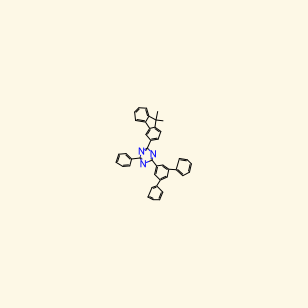 CC1(C)c2ccccc2-c2cc(-c3nc(-c4ccccc4)nc(-c4cc(-c5ccccc5)cc(-c5ccccc5)c4)n3)ccc21